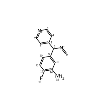 C=NC(c1ccncc1)c1ccc(F)c(N)c1